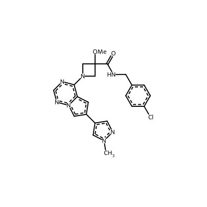 COC1(C(=O)NCc2ccc(Cl)cc2)CN(c2ncnn3cc(-c4cnn(C)c4)cc23)C1